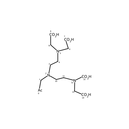 CC(=O)CN(CCN(CC(=O)O)CC(=O)O)CCN(CC(=O)O)C(=O)O